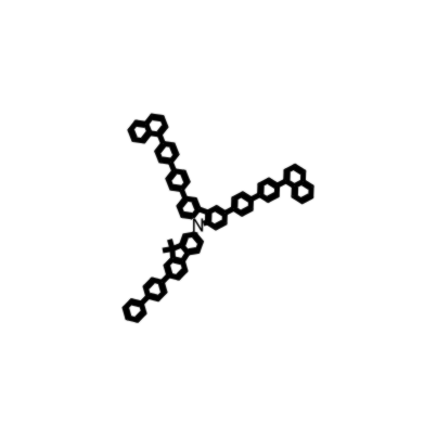 CC1(C)c2cc(-c3ccc(-c4ccccc4)cc3)ccc2-c2ccc(-n3c4ccc(-c5ccc(-c6ccc(-c7cccc8ccccc78)cc6)cc5)cc4c4cc(-c5ccc(-c6ccc(-c7cccc8ccccc78)cc6)cc5)ccc43)cc21